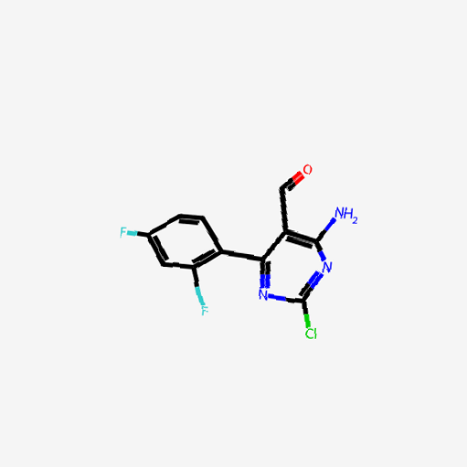 Nc1nc(Cl)nc(-c2ccc(F)cc2F)c1C=O